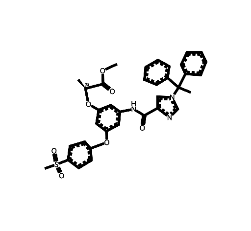 COC(=O)[C@H](C)Oc1cc(NC(=O)c2cn(C(C)(c3ccccc3)c3ccccc3)cn2)cc(Oc2ccc(S(C)(=O)=O)cc2)c1